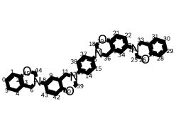 C1=CC2=C(CC1)CN(C1=CC3CN(c4ccc(N5COc6ccc(N7COc8ccccc8C7)cc6C5)cc4)COC3C=C1)CO2